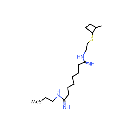 CSCCNC(=N)CCCCCCC(=N)NCCSC1CCC1C